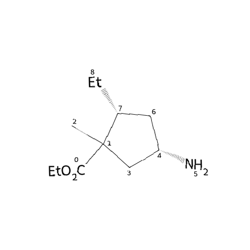 CCOC(=O)C1(C)C[C@@H](N)C[C@H]1CC